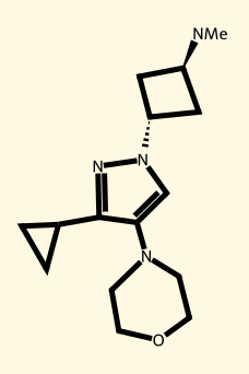 CN[C@H]1C[C@H](n2cc(N3CCOCC3)c(C3CC3)n2)C1